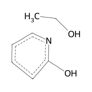 CCO.Oc1ccccn1